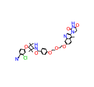 Cc1c(N2CCC(=O)NC2=O)cnc2cc(OCCOCCOc3ccc(C(=O)N[C@H]4C(C)(C)[C@H](Oc5ccc(C#N)c(Cl)c5)C4(C)C)cc3)ccc12